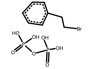 BrCCc1ccccc1.O=P(O)(O)OP(=O)(O)O